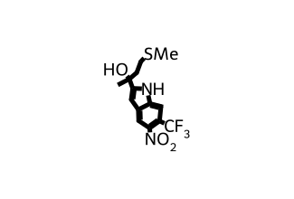 CSCCC(C)(O)c1cc2cc([N+](=O)[O-])c(C(F)(F)F)cc2[nH]1